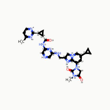 Cc1ccnc([C@H]2C[C@@H]2C(=O)Nc2cncc(NCc3cn4cc(C5CC5)cc(N5CC(=O)N(C)C5=O)c4n3)n2)n1